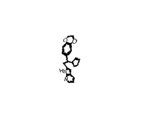 c1cnc2[nH]c(CC(c3ccc4c(c3)OCCO4)C3CCCC3)cc2c1